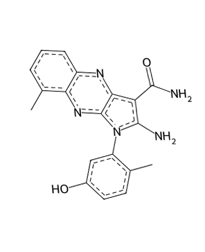 Cc1ccc(O)cc1-n1c(N)c(C(N)=O)c2nc3cccc(C)c3nc21